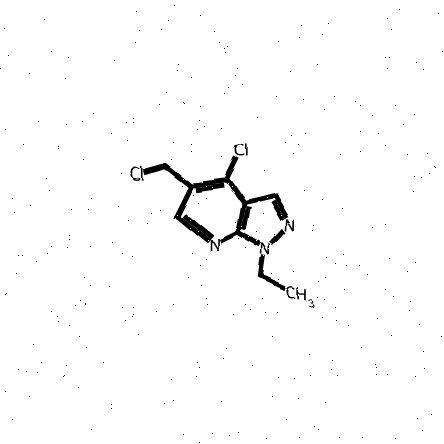 CCn1ncc2c(Cl)c(CCl)cnc21